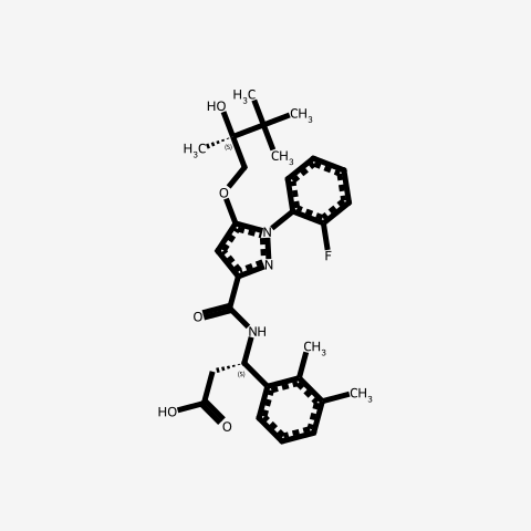 Cc1cccc([C@H](CC(=O)O)NC(=O)c2cc(OC[C@@](C)(O)C(C)(C)C)n(-c3ccccc3F)n2)c1C